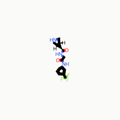 O=C(CNC(=O)[C@H]1[C@@H]2CNC[C@@H]21)Nc1cccc(C(F)(F)F)c1